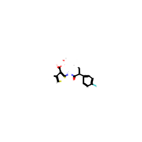 CCC(C(=O)Nc1scc(C)c1C(=O)OC)c1ccc(F)cc1